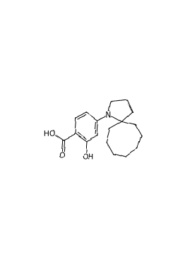 O=C(O)c1ccc(N2CCCC23CCCCCCC3)cc1O